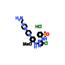 COc1cc(N2CCC(N3CCN(CCN)CC3)CC2)ccc1Nc1ncc(Cl)c(Nc2ccccc2P(C)(C)=O)n1.Cl